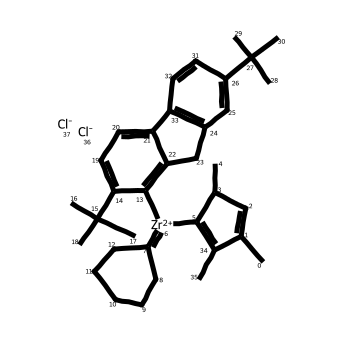 CC1=CC(C)[C]([Zr+2](=[C]2CCCCC2)[c]2c(C(C)(C)C)ccc3c2Cc2cc(C(C)(C)C)ccc2-3)=C1C.[Cl-].[Cl-]